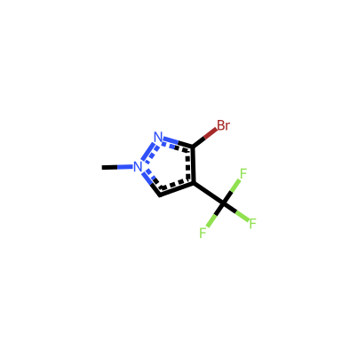 Cn1cc(C(F)(F)F)c(Br)n1